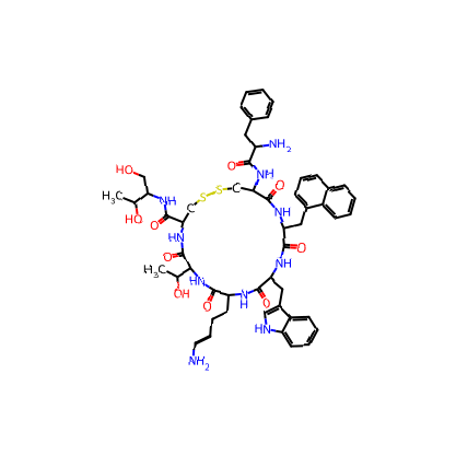 CC(O)C(CO)NC(=O)C1CSSCC(NC(=O)C(N)Cc2ccccc2)C(=O)NC(Cc2cccc3ccccc23)C(=O)NC(Cc2c[nH]c3ccccc23)C(=O)NC(CCCCN)C(=O)NC(C(C)O)C(=O)N1